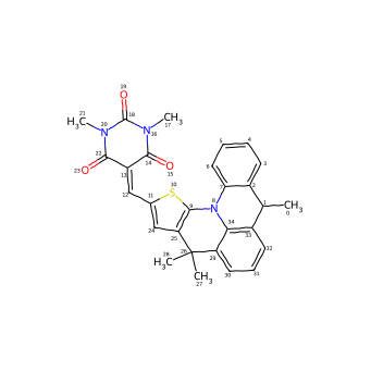 CC1c2ccccc2N2c3sc(C=C4C(=O)N(C)C(=O)N(C)C4=O)cc3C(C)(C)c3cccc1c32